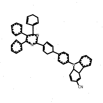 N#CC1=CC2c3ccccc3N(c3ccc(C4C=CC(c5nc(C6=CCCC=C6)c(-c6ccccc6)c(-c6ccccc6)n5)=CC4)cc3)C2C=C1